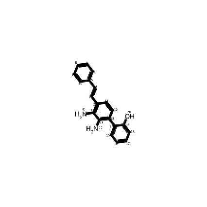 Nc1c(C=Cc2ccccc2)ccc(-c2ccccc2O)c1N